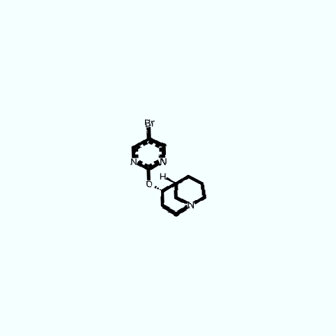 Brc1cnc(O[C@H]2CCN3CCC[C@@H]2C3)nc1